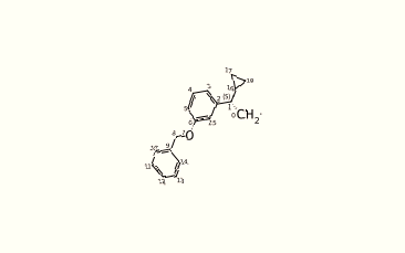 [CH2][C@H](c1cccc(OCc2ccccc2)c1)C1CC1